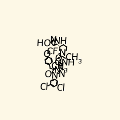 CC(NC(=O)c1cnc2n1[C@](C)(Cc1ccc(OC(F)(F)F)cc1)C(=O)N2c1cc(Cl)cc(Cl)c1)C(=O)N1CCC[C@@H](c2cc(O)n[nH]2)C1